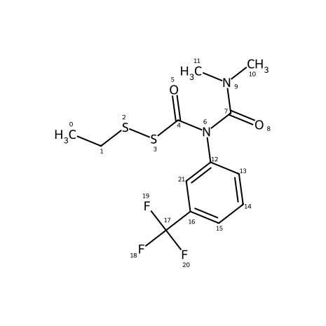 CCSSC(=O)N(C(=O)N(C)C)c1cccc(C(F)(F)F)c1